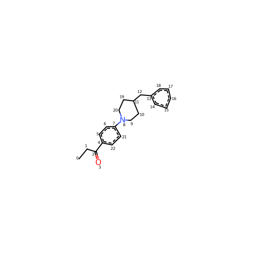 CCC(=O)c1ccc(N2CCC(Cc3ccccc3)CC2)cc1